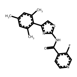 Cc1cc(C)c(-c2csc(NC(=O)c3ccncc3F)n2)c(C)c1